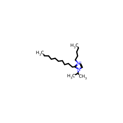 CCCCCCCCCCc1n(C(C)C)cc[n+]1CCCCC